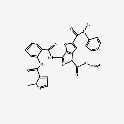 CCCCCCCOC(=O)n1nc(NC(=O)c2ccccc2NC(=O)c2ccnn2C)c2oc(C(=O)N(CC)c3ccccc3)cc21